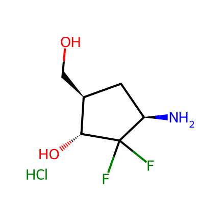 Cl.N[C@@H]1C[C@H](CO)[C@@H](O)C1(F)F